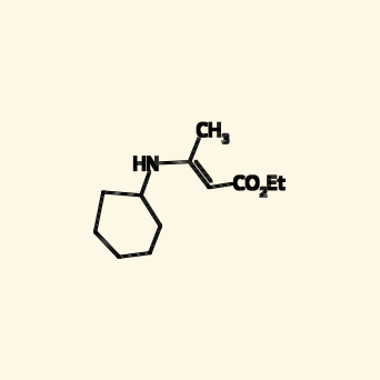 CCOC(=O)C=C(C)NC1CCCCC1